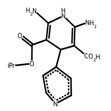 CC(C)OC(=O)C1=C(N)NC(N)=C(C(=O)O)C1c1ccncc1